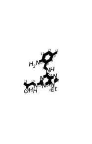 CCn1cnc2c(NCc3cc(C)ccc3N)nc(NCC(C)O)nc21